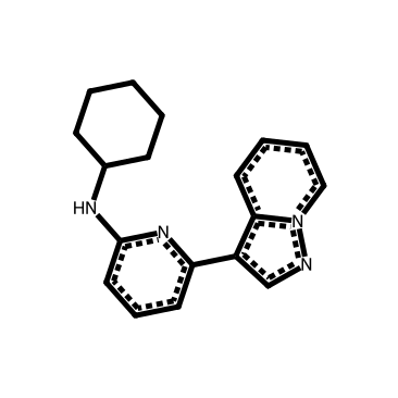 c1cc(NC2CCCCC2)nc(-c2cnn3ccccc23)c1